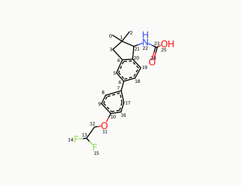 CC1(C)Cc2cc(-c3ccc(OCC(F)F)cc3)ccc2C1NC(=O)O